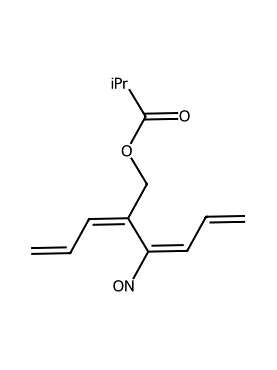 C=C/C=C(COC(=O)C(C)C)\C(=C/C=C)N=O